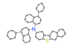 c1ccc(-c2ccc(N(c3ccc4sc5cc6ccccc6cc5c4c3)c3ccc(-c4ccccc4)c4ccccc34)c3ccccc23)cc1